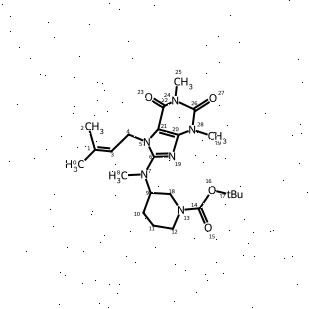 CC(C)=CCn1c(N(C)C2CCCN(C(=O)OC(C)(C)C)C2)nc2c1c(=O)n(C)c(=O)n2C